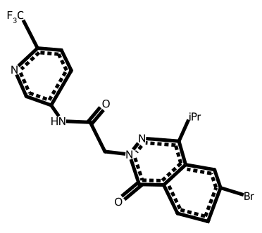 CC(C)c1nn(CC(=O)Nc2ccc(C(F)(F)F)nc2)c(=O)c2ccc(Br)cc12